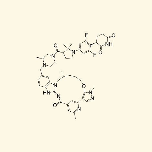 Cc1cc2cc(n1)-c1cnn(C)c1OCCC[C@@H](C)CN1/C(=N/C2=O)Nc2ccc(CN3CCN(C(=O)[C@@H]4CCN(c5cc(F)c([C@H]6CCC(=O)NC6=O)c(F)c5)C4(C)C)C[C@@H]3C)cc21